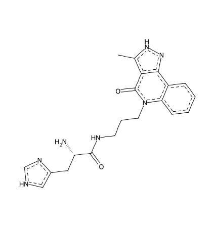 Cc1[nH]nc2c1c(=O)n(CCCNC(=O)[C@@H](N)Cc1c[nH]cn1)c1ccccc21